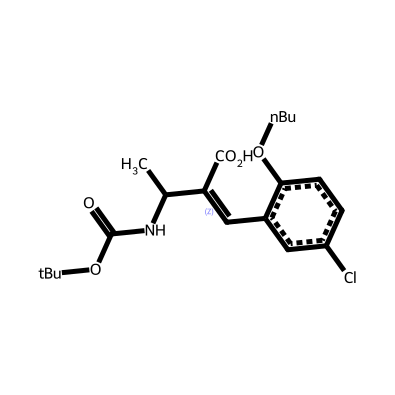 CCCCOc1ccc(Cl)cc1/C=C(\C(=O)O)C(C)NC(=O)OC(C)(C)C